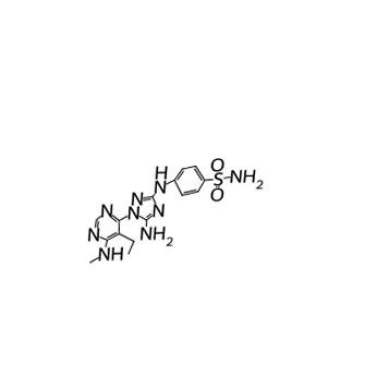 CCc1c(NC)ncnc1-n1nc(Nc2ccc(S(N)(=O)=O)cc2)nc1N